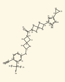 N#Cc1ccc(CC2CC3(C2)CN(C(=O)N2CC4(CC(c5nc(C6CC6)n[nH]5)C4)C2)C3)cc1C(F)(F)F